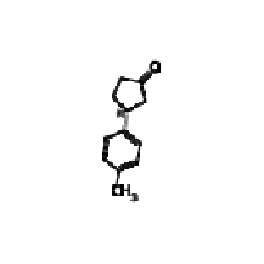 Cc1ccc([C@@H]2CCC(=O)C2)cc1